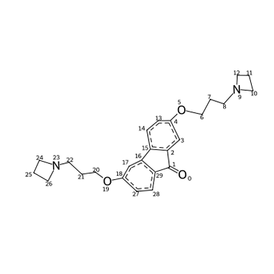 O=C1c2cc(OCCCN3CCC3)ccc2-c2cc(OCCCN3CCC3)ccc21